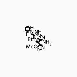 CCC(/C(=C/Nc1ccccc1F)N=N)n1cc(-c2cncnc2OC)c2c(N)ncnc21